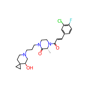 C[C@@H]1C(=O)N(CCCN2CCC3(CC3)[C@H](O)C2)CCN1C(=O)/C=C/c1ccc(F)c(Cl)c1